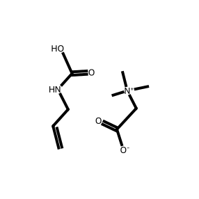 C=CCNC(=O)O.C[N+](C)(C)CC(=O)[O-]